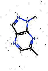 Cc1cnc2cnn(C)c2n1